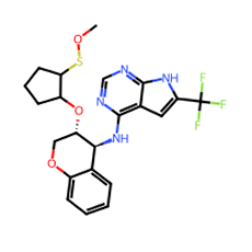 COSC1CCCC1O[C@H]1COc2ccccc2[C@@H]1Nc1ncnc2[nH]c(C(F)(F)F)cc12